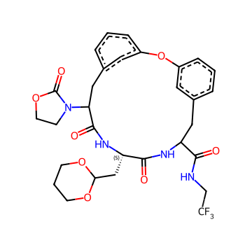 O=C(NCC(F)(F)F)C1Cc2cccc(c2)Oc2cccc(c2)CC(N2CCOC2=O)C(=O)N[C@@H](CC2OCCCO2)C(=O)N1